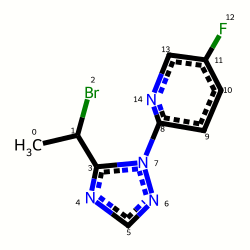 CC(Br)c1ncnn1-c1ccc(F)cn1